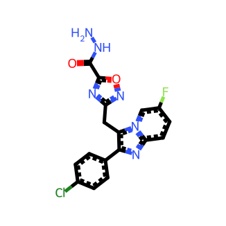 NNC(=O)c1nc(Cc2c(-c3ccc(Cl)cc3)nc3ccc(F)cn23)no1